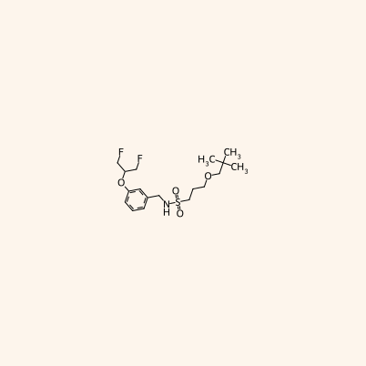 CC(C)(C)COCCCS(=O)(=O)NCc1cccc(OC(CF)CF)c1